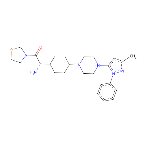 Cc1cc(N2CCN(C3CCC([C@H](N)C(=O)N4CCSC4)CC3)CC2)n(-c2ccccc2)n1